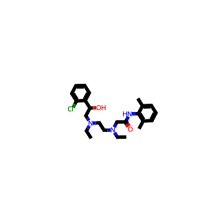 CCN(CCN(CC)CC(O)c1ccccc1Cl)CC(=O)Nc1c(C)cccc1C